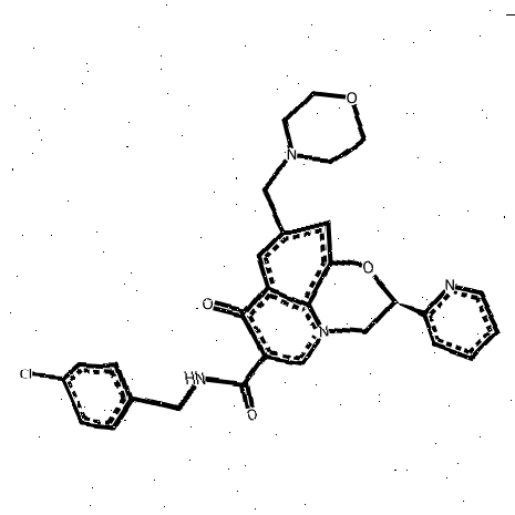 O=C(NCc1ccc(Cl)cc1)c1cn2c3c(cc(CN4CCOCC4)cc3c1=O)O[C@@H](c1ccccn1)C2